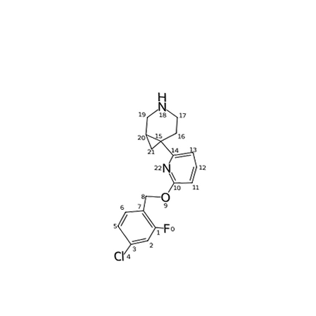 Fc1cc(Cl)ccc1COc1cccc(C23CCNCC2C3)n1